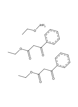 CCOC(=O)CC(=O)c1ccccc1.CCOC(=O)CC(=O)c1ccccc1.CC[O][InH2]